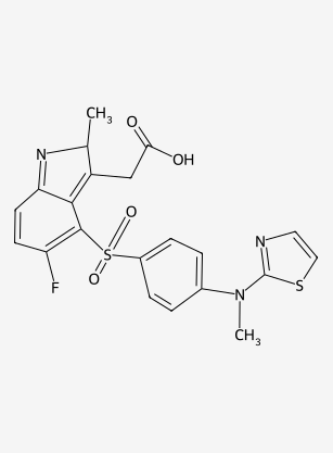 CC1N=c2ccc(F)c(S(=O)(=O)c3ccc(N(C)c4nccs4)cc3)c2=C1CC(=O)O